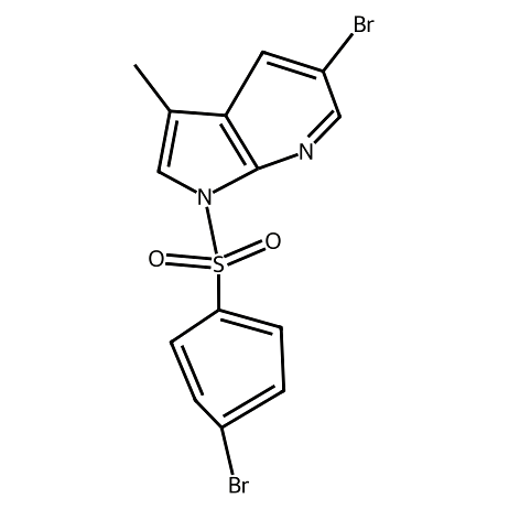 Cc1cn(S(=O)(=O)c2ccc(Br)cc2)c2ncc(Br)cc12